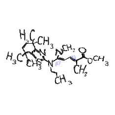 C=N/C(=C\C=C(/C)C(=O)OC)N(CCC)c1nc2c(s1)C(C)(C)C=CC2(C)C